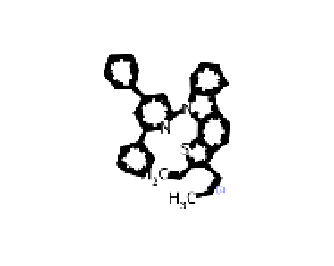 C=Cc1sc2c(ccc3c4ccccc4n(-c4cc(-c5ccccc5)cc(-c5ccccc5)n4)c32)c1/C=C\C